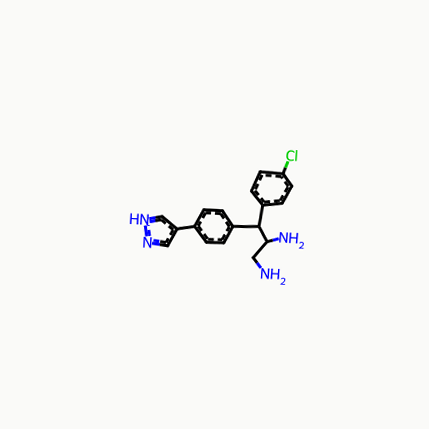 NCC(N)C(c1ccc(Cl)cc1)c1ccc(-c2cn[nH]c2)cc1